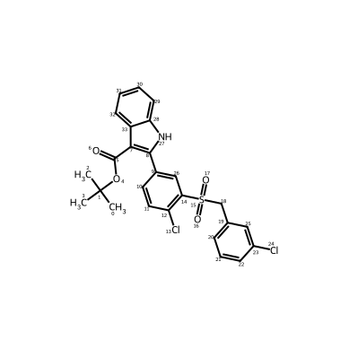 CC(C)(C)OC(=O)c1c(-c2ccc(Cl)c(S(=O)(=O)Cc3cccc(Cl)c3)c2)[nH]c2ccccc12